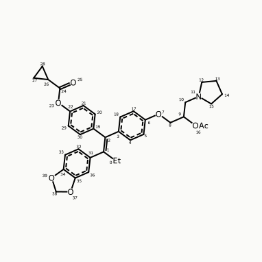 CCC(=C(c1ccc(OCC(CN2CCCC2)OC(C)=O)cc1)c1ccc(OC(=O)C2CC2)cc1)c1ccc2c(c1)OCO2